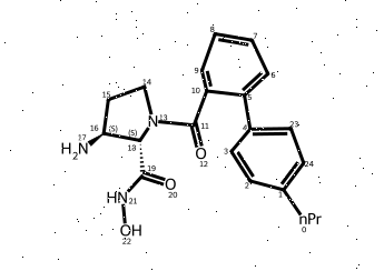 CCCc1ccc(-c2ccccc2C(=O)N2CC[C@H](N)[C@H]2C(=O)NO)cc1